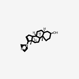 C[C@]12CC[C@H](O)C[C@@H]1CC[C@@H]1[C@@H]2CC[C@]2(C)C(n3ccnc3)=CC[C@@H]12